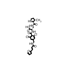 C[C@H]1CCN[C@@H]1C(=O)NC[C@H](NC(=O)c1c(Cl)cc(CNC(=O)/C=C/c2ccco2)cc1Cl)C(=O)O